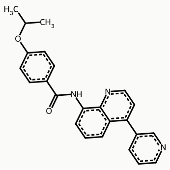 CC(C)Oc1ccc(C(=O)Nc2cccc3c(-c4cccnc4)ccnc23)cc1